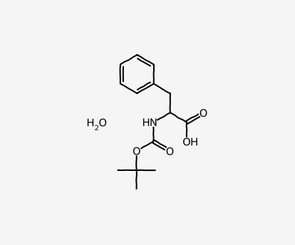 CC(C)(C)OC(=O)NC(Cc1ccccc1)C(=O)O.O